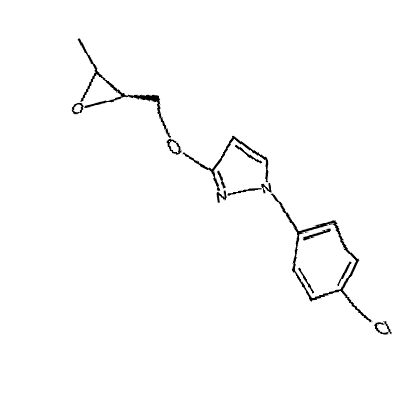 CC1O[C@@H]1COc1ccn(-c2ccc(Cl)cc2)n1